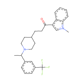 CC(c1cccc(C(F)(F)F)c1)N1CCC(CCC(=O)c2cn(C)c3ccccc23)CC1